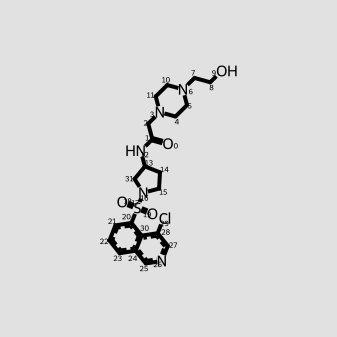 O=C(CN1CCN(CCO)CC1)NC1CCN(S(=O)(=O)c2cccc3cncc(Cl)c23)C1